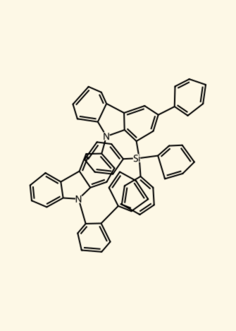 c1ccc(-c2cc([Si](c3ccccc3)(c3ccccc3)c3ccccc3)c3c(c2)c2ccccc2n3-c2ccc3c(c2)c2ccccc2n3-c2ccccc2-c2ccccc2)cc1